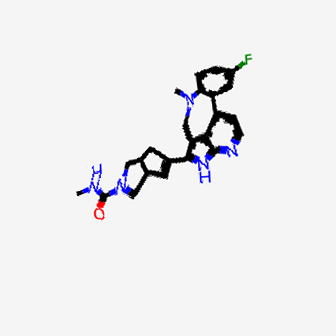 CNC(=O)N1CC2C=C(c3[nH]c4nccc5c4c3CN(C)c3ccc(F)cc3-5)CC2C1